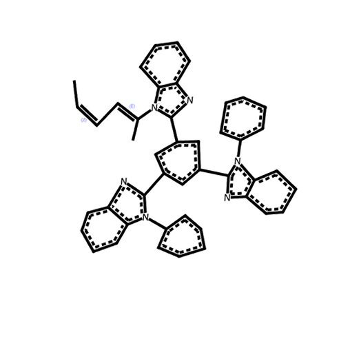 C/C=C\C=C(/C)n1c(-c2cc(-c3nc4ccccc4n3-c3ccccc3)cc(-c3nc4ccccc4n3-c3ccccc3)c2)nc2ccccc21